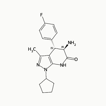 Cc1nn(C2CCCC2)c2c1[C@H](c1ccc(F)cc1)[C@@H](N)C(=O)N2